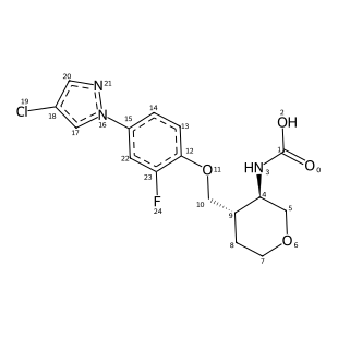 O=C(O)N[C@H]1COCC[C@@H]1COc1ccc(-n2cc(Cl)cn2)cc1F